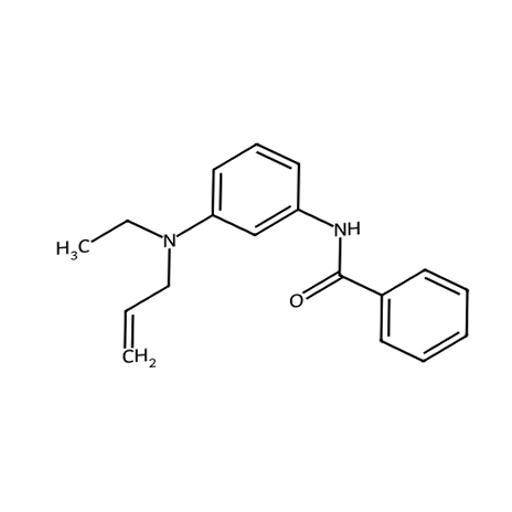 C=CCN(CC)c1cccc(NC(=O)c2ccccc2)c1